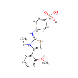 CCn1c(-c2ccccc2OC)csc1=Nc1ccc(S(=O)(=O)O)cc1